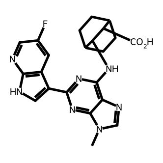 Cn1cnc2c(NC3C4CCC(CC4)C3C(=O)O)nc(-c3c[nH]c4ncc(F)cc34)nc21